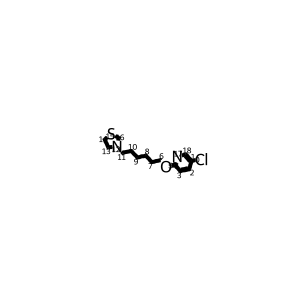 Clc1ccc(OCCCCCCN2CCSC2)nc1